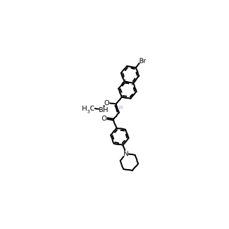 CBO/C(=C\C(=O)c1ccc(N2CCCCC2)cc1)c1ccc2cc(Br)ccc2c1